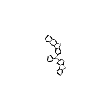 c1ccc(N(c2ccc3oc4ccccc4c3c2)c2ccc3sc4cc5ccccc5cc4c3c2)cc1